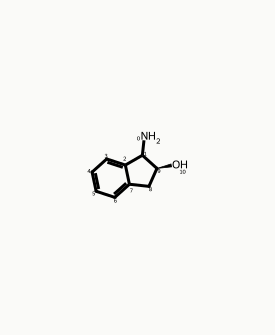 NC1c2ccccc2C[C@@H]1O